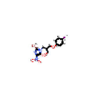 O=[N+]([O-])c1cn(CC(CO)COc2ccc(I)cc2)c(Br)n1